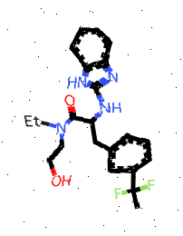 CCN(CCO)C(=O)C(Cc1cccc(C(C)(F)F)c1)Nc1nc2ccccc2[nH]1